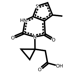 Cc1csc2[nH]c(=O)n(C3(CC(=O)O)CC3)c(=O)c12